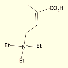 CC[N+](CC)(CC)CC=C(C)C(=O)O